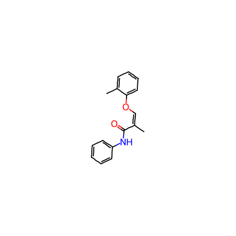 CC(=COc1ccccc1C)C(=O)Nc1ccccc1